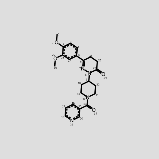 COc1ccc(C2=NN(C3CCN(C(=O)c4cccnc4)CC3)C(=O)CC2)cc1OC